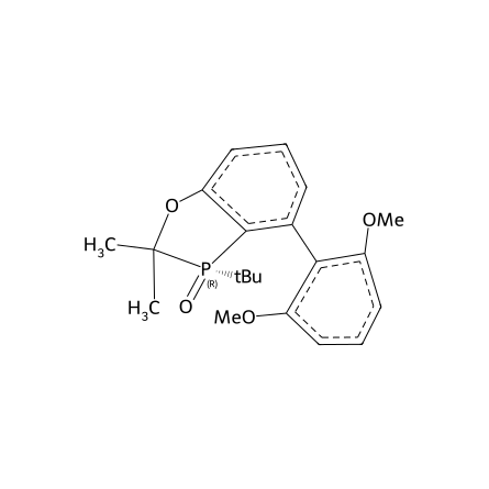 COc1cccc(OC)c1-c1cccc2c1[P@](=O)(C(C)(C)C)C(C)(C)O2